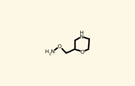 NOCC1CNCCO1